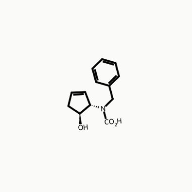 O=C(O)N(Cc1ccccc1)[C@H]1C=CC[C@@H]1O